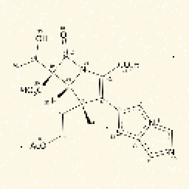 CC(=O)OCC[C@@]1(C)C(c2cn3cncc3s2)=C(C(=O)O)N2C(=O)[C@@](C(=O)O)(C(C)O)[C@H]21